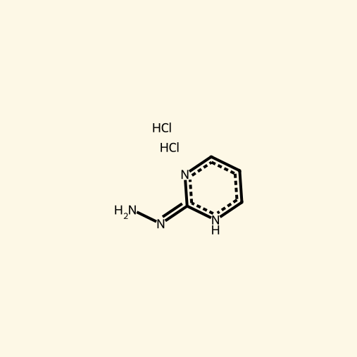 Cl.Cl.NN=c1nccc[nH]1